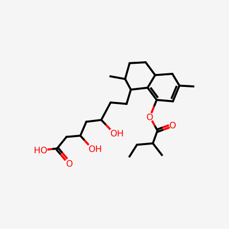 CCC(C)C(=O)OC1=C2C(CCC(C)C2CCC(O)CC(O)CC(=O)O)CC(C)=C1